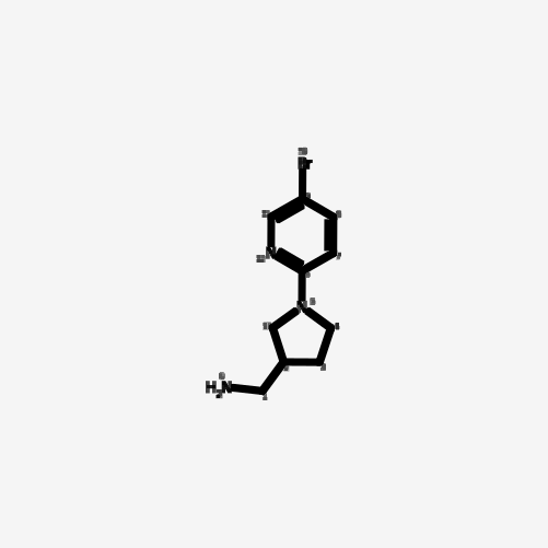 NCC1CCN(c2ccc(Br)cn2)C1